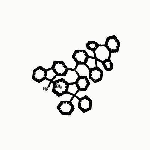 CC1(C)c2ccccc2-c2ccc(N(c3cccc4c3-c3ccccc3C4(c3ccccc3)c3ccccc3)c3cccc4c3-c3ccccc3C43c4ccccc4-c4ccccc4-c4ccccc43)cc21